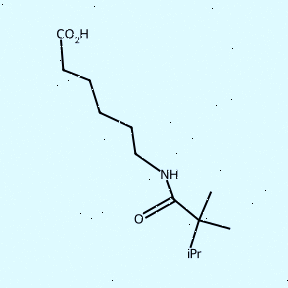 CC(C)C(C)(C)C(=O)NCCCCCC(=O)O